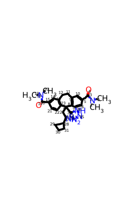 CN(C)C(=O)c1ccc2c(c1)CCc1cc(C(=O)N(C)C)ccc1C2(C[C@H](N)C1CCC1)c1nnn[nH]1